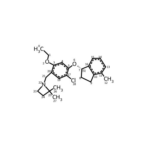 CCOc1cc(O[C@H]2CCc3c(C)cccc32)c(Cl)cc1CN1CCC1(C)C